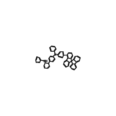 C1=CC(Nc2ccccc2)C(c2ccc(N(c3ccccc3)c3ccc(-c4cccc5c4-c4ccccc4C54c5ccccc5-c5ccccc54)cc3)cc2)C=C1